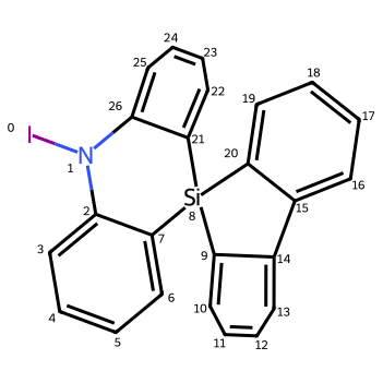 IN1c2ccccc2[Si]2(c3ccccc3-c3ccccc32)c2ccccc21